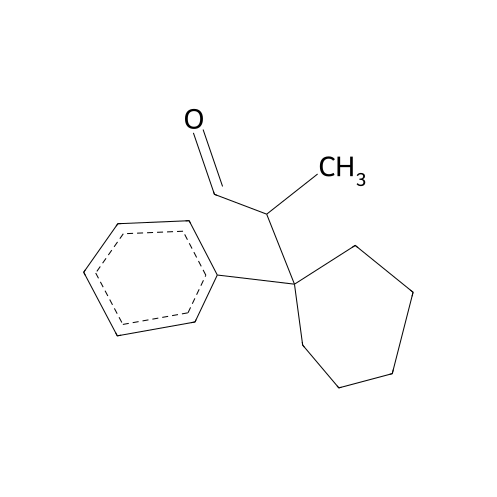 CC(C=O)C1(c2ccccc2)CCCCC1